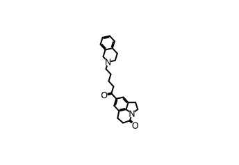 O=C(CCCCN1CCc2ccccc2C1)c1cc2c3c(c1)CCN3C(=O)CC2